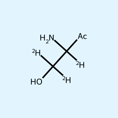 [2H]C([2H])(O)C([2H])(N)C(C)=O